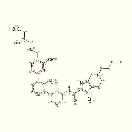 COc1nc(-c2ccnc(-c3cccc(NC(=O)c4nc5c(n4C)CCN(CCCF)C5)c3Cl)c2Cl)ccc1CNC[C@H](O)CC(=O)O